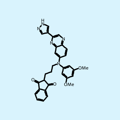 COc1cc(OC)cc(N(CCCC2C(=O)c3ccccc3C2=O)c2ccc3ncc(-c4cn[nH]c4)nc3c2)c1